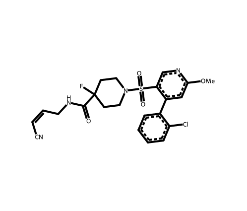 COc1cc(-c2ccccc2Cl)c(S(=O)(=O)N2CCC(F)(C(=O)NC/C=C\C#N)CC2)cn1